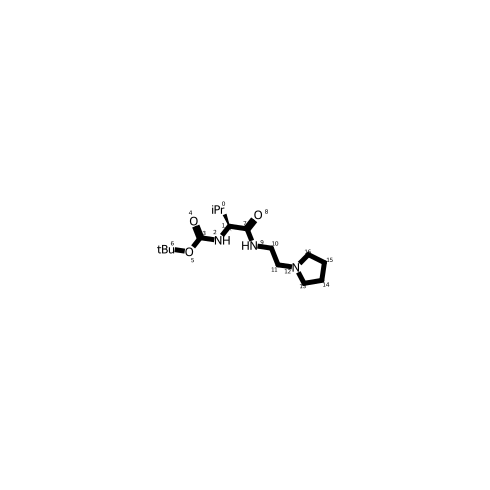 CC(C)[C@H](NC(=O)OC(C)(C)C)C(=O)NCCN1CCCC1